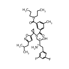 CCCN(CCC)C(=O)c1cc(C)cc(C(=O)N(C[C@@H](O)[C@@H](N)Cc2cc(F)cc(F)c2)C2(c3cc(CC(C)C)no3)CC2)c1